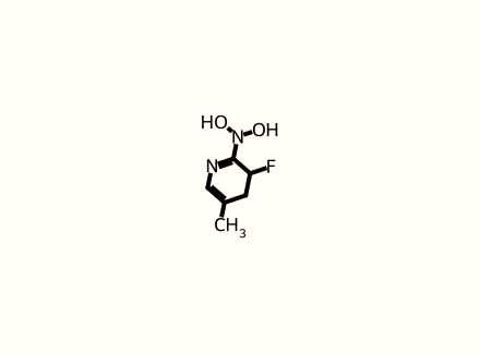 CC1=CN=C(N(O)O)C(F)C1